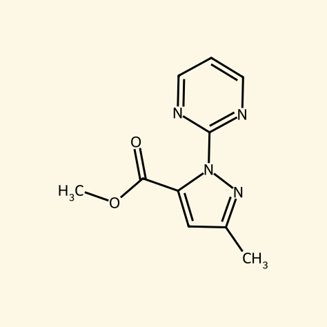 COC(=O)c1cc(C)nn1-c1ncccn1